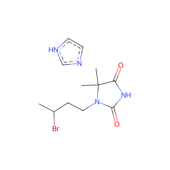 CC(Br)CCN1C(=O)NC(=O)C1(C)C.c1c[nH]cn1